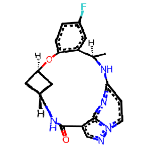 C[C@H]1Nc2ccn3ncc(c3n2)C(=O)N[C@H]2C[C@@H](C2)Oc2ccc(F)cc21